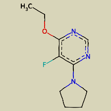 CCOc1ncnc(N2CCCC2)c1F